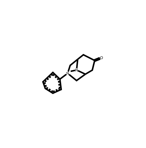 CN1C2CC(=O)CC1CN(c1ccccc1)C2